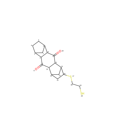 O=C1C2C3CCC(C3)C2C(=O)C2C3CC(CC3SCCS)C12